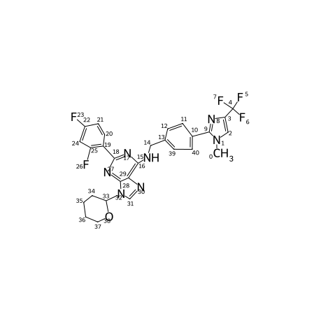 Cn1cc(C(F)(F)F)nc1-c1ccc(CNc2nc(-c3ccc(F)cc3F)nc3c2ncn3C2CCCCO2)cc1